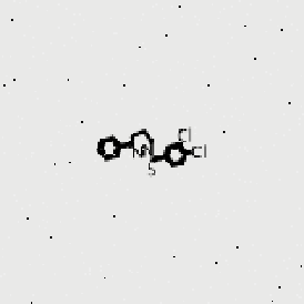 S=C(c1ccc(Cl)c(Cl)c1)N1CCCC(c2ccccc2)=N1